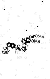 COCCOc1cc2ncnc(Oc3cnn(CC(=O)Nc4ccc5c(c4)N(C(=O)OC(C)(C)C)CC5)c3)c2cc1OC